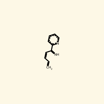 C=C/C=C\C(=N)c1ccccn1